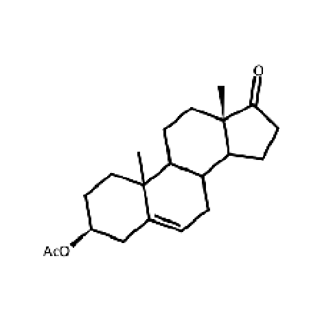 CC(=O)O[C@H]1CCC2(C)C(=CCC3C2CC[C@]2(C)C(=O)CCC32)C1